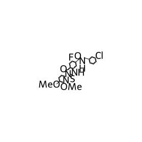 COc1ccc(-n2c(=S)[nH]c3cc(C(=O)NCc4cccc(Cl)c4)c(F)cc3c2=O)nc1OC